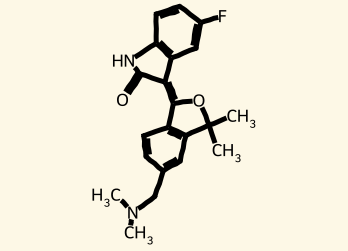 CN(C)Cc1ccc2c(c1)C(C)(C)OC2=C1C(=O)Nc2ccc(F)cc21